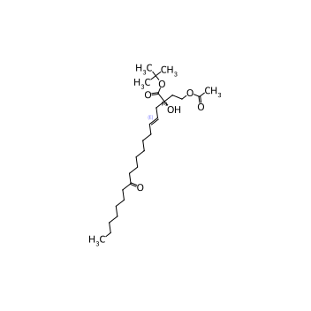 CCCCCCCC(=O)CCCCCC/C=C/C[C@@](O)(CCOC(C)=O)C(=O)OC(C)(C)C